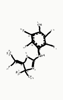 N#Cc1c(F)c(F)c(NC2=NC(C(F)(F)F)(C(F)(F)F)C(=C(F)C(F)(F)F)S2)c(F)c1F